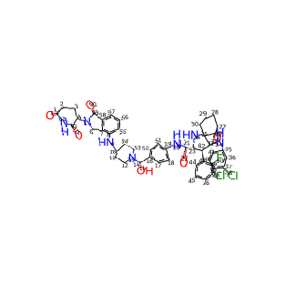 O=C1CCC(N2Cc3c(NC4CCN(C(O)c5ccc(NC(=O)[C@@H]6NC7(CCCCC7)[C@@]7(C(=O)Nc8cc(Cl)ccc87)[C@H]6c6cccc(Cl)c6F)cc5)CC4)cccc3C2=O)C(=O)N1